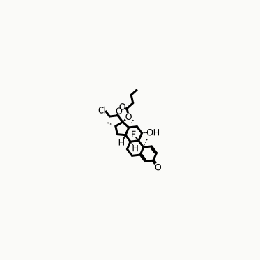 CCCC(=O)O[C@]1(C(=O)CCl)[C@@H](C)C[C@H]2[C@@H]3CCC4=CC(=O)C=C[C@]4(C)[C@@]3(F)[C@@H](O)C[C@@]21C